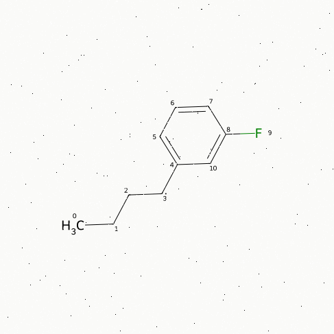 CCC[CH]c1cccc(F)c1